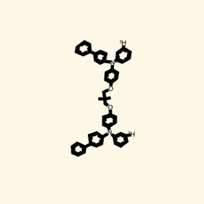 [3H]c1cccc(N(c2ccc(OCC(C)(C)COc3ccc(N(c4ccc(-c5ccccc5)cc4)c4cccc([3H])c4)cc3)cc2)c2ccc(-c3ccccc3)cc2)c1